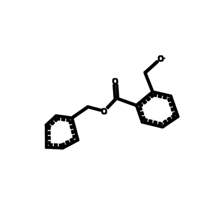 [O]Cc1ccccc1C(=O)OCc1ccccc1